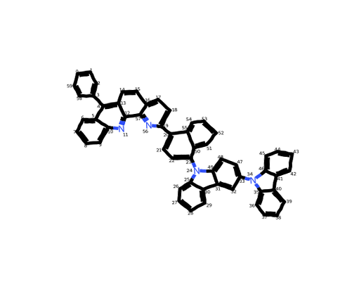 c1ccc(-c2c3ccccc3nc3c2ccc2ccc(-c4ccc(-n5c6ccccc6c6cc(-n7c8ccccc8c8ccccc87)ccc65)c5ccccc45)nc23)cc1